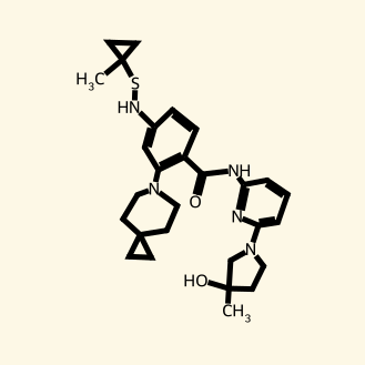 CC1(O)CCN(c2cccc(NC(=O)c3ccc(NSC4(C)CC4)cc3N3CCC4(CC3)CC4)n2)C1